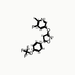 Cc1ncc(OC2=NO[C@H](c3ccc(OC(F)(F)F)cc3)C2)cc1F